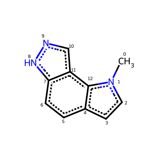 Cn1ccc2ccc3[nH]ncc3c21